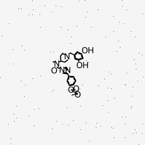 CN(C(=O)n1cnc(-c2ccc(OS(C)(=O)=O)cc2)c1)C1CCN(Cc2cc(O)cc(O)c2)CC1